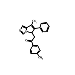 CC1=C(c2ccccc2)C(CC(=O)c2ccc(C)cc2)n2cncc21